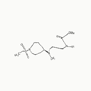 CCN(CCN(C)[C@@H]1CCN(S(C)(=O)=O)C1)C(=O)OC